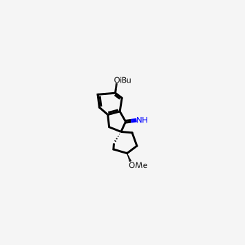 CO[C@H]1CC[C@]2(CC1)Cc1ccc(OCC(C)C)cc1C2=N